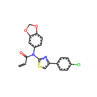 C=CC(=O)N(c1ccc2c(c1)OCO2)c1nc(-c2ccc(Cl)cc2)cs1